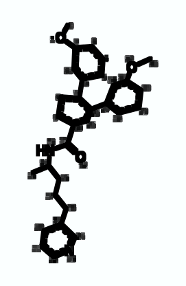 COc1cccc(-c2ccc(C(=O)NC(C)CCCc3cccnc3)cc2-c2cccc(OC)c2)c1